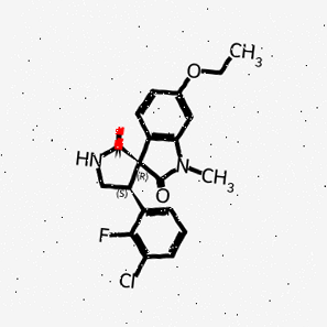 CCOc1ccc2c(c1)N(C)C(=O)[C@]21[C@@H](c2cccc(Cl)c2F)CNC12CCCCC2